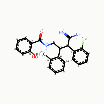 N=C(N)C(c1ccccc1F)C(CNC(=O)c1ccccc1O)c1ccccc1C(F)(F)F